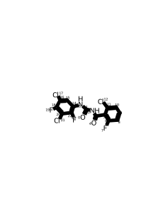 O=C(NC(=O)c1c(F)cccc1Cl)Nc1cc(Cl)c(F)c(Cl)c1F